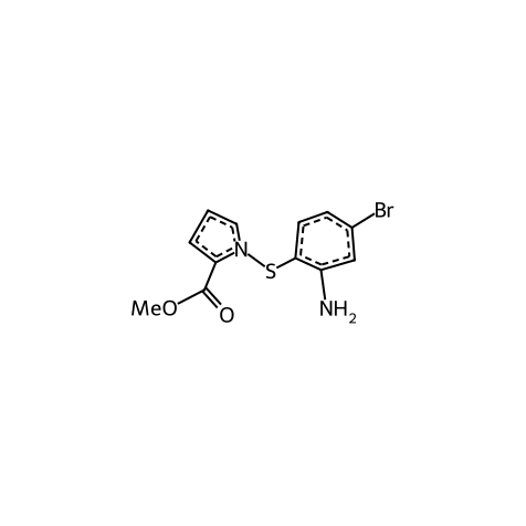 COC(=O)c1cccn1Sc1ccc(Br)cc1N